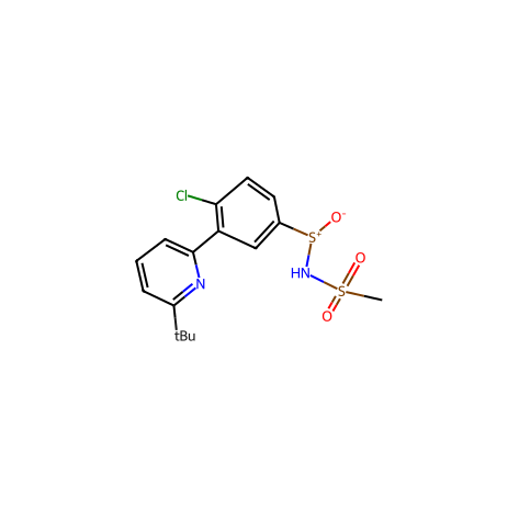 CC(C)(C)c1cccc(-c2cc([S+]([O-])NS(C)(=O)=O)ccc2Cl)n1